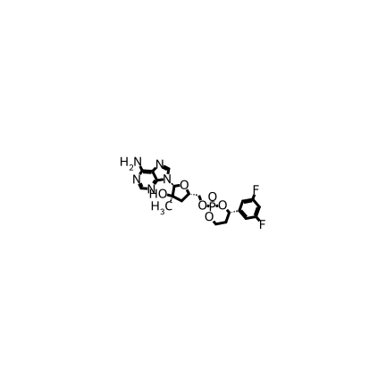 C[C@@]1(O)C[C@@H](COP2(=O)OCC[C@@H](c3cc(F)cc(F)c3)O2)O[C@H]1n1cnc2c(N)ncnc21